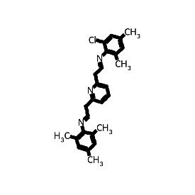 Cc1cc(C)c(/N=C/Cc2cccc(C/C=N/c3c(C)cc(C)cc3Cl)n2)c(C)c1